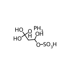 O=S(=O)(O)OC(O)CC(O)(O)O.P